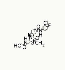 CN1OC(CNC(=O)CO)Cn2nc3c(c2C1=O)CN(C(=O)Nc1ccc(F)c(Cl)c1)CC3